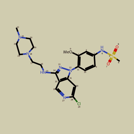 COc1cc(NS(C)(=O)=O)ccc1-n1nc(NCCN2CCN(C)CC2)c2cnc(Cl)cc21